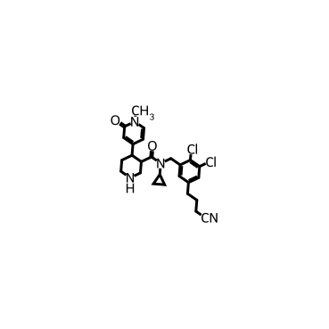 Cn1ccc(C2CCNCC2C(=O)N(Cc2cc(CCCC#N)cc(Cl)c2Cl)C2CC2)cc1=O